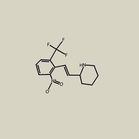 O=[N+]([O-])c1cccc(C(F)(F)F)c1C=CC1CCCCN1